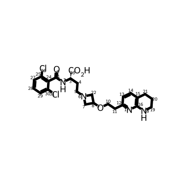 O=C(N[C@@H](CCN1CC(OCCc2ccc3c(n2)NCCC3)C1)C(=O)O)c1c(Cl)cccc1Cl